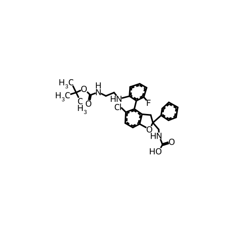 CC(C)(C)OC(=O)NCCNc1cccc(F)c1-c1c(Cl)ccc2c1CC(CNC(=O)O)(c1ccccc1)O2